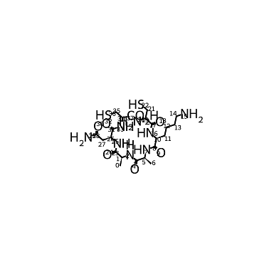 C[C@H](NC(=O)[C@H](C)NC(=O)[C@H](CCCCN)NC(=O)[C@@H](N)CS)C(=O)N[C@@H](CC(N)=O)C(=O)N[C@@H](CS)C(=O)O